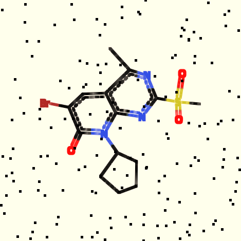 Cc1nc(S(C)(=O)=O)nc2c1cc(Br)c(=O)n2C1CCCC1